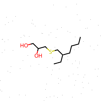 CCCCC(CC)CSCC(O)CO